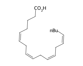 CCCC/C=C\C/C=C\C/C=C\C/C=C\CCCC(=O)O